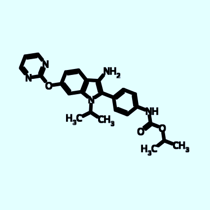 CC(C)OC(=O)Nc1ccc(-c2c(N)c3ccc(Oc4ncccn4)cc3n2C(C)C)cc1